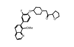 COc1c(-c2ccc(OC3CCN(CC(=O)C4CCCO4)CC3)c(F)c2)ccc2cccnc12